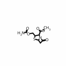 COC(=O)C1C(COC(N)=O)SC2CC(=O)N21